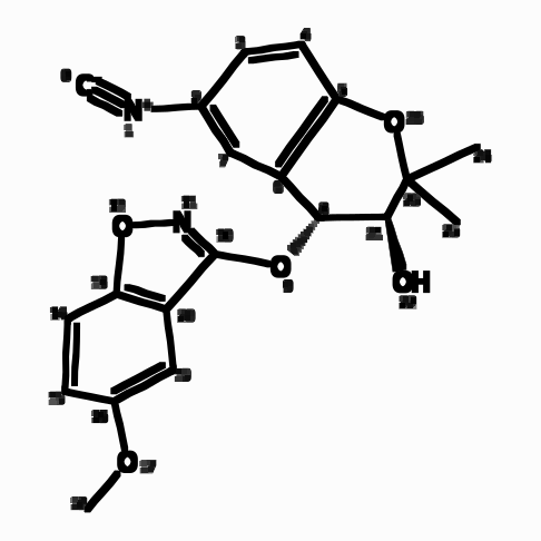 [C-]#[N+]c1ccc2c(c1)[C@@H](Oc1noc3ccc(OC)cc13)[C@H](O)C(C)(C)O2